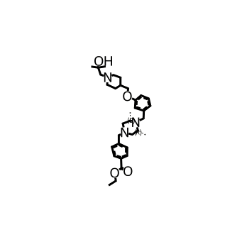 CCOC(=O)c1ccc(CN2C[C@@H](C)N(Cc3cccc(OCC4CCN(CC(C)(C)O)CC4)c3)[C@@H](C)C2)cc1